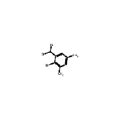 Cc1cc(C)c(Br)c(C(Br)Br)c1